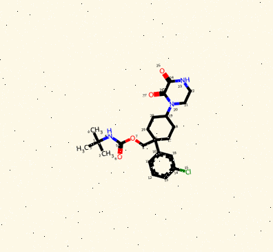 CC(C)(C)NC(=O)OCC1(c2cccc(Cl)c2)CCC(N2CCNC(=O)C2=O)CC1